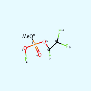 COP(=O)(OF)OC(F)C(F)F